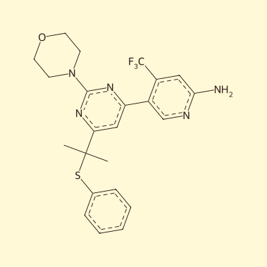 CC(C)(Sc1ccccc1)c1cc(-c2cnc(N)cc2C(F)(F)F)nc(N2CCOCC2)n1